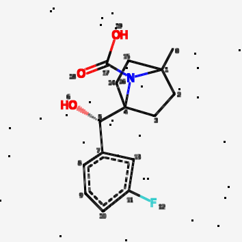 CC12CCC([C@@H](O)c3cccc(F)c3)(CC1)N2C(=O)O